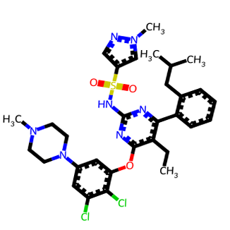 CCc1c(Oc2cc(N3CCN(C)CC3)cc(Cl)c2Cl)nc(NS(=O)(=O)c2cnn(C)c2)nc1-c1ccccc1CC(C)C